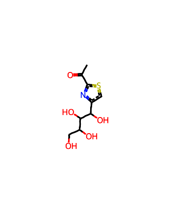 CC(=O)c1nc(C(O)C(O)C(O)CO)cs1